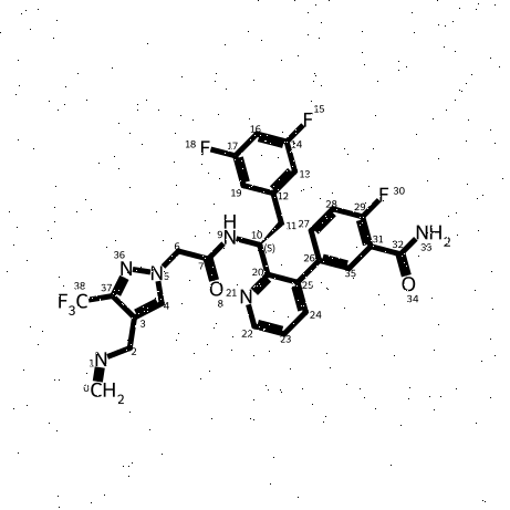 C=NCc1cn(CC(=O)N[C@@H](Cc2cc(F)cc(F)c2)c2ncccc2-c2ccc(F)c(C(N)=O)c2)nc1C(F)(F)F